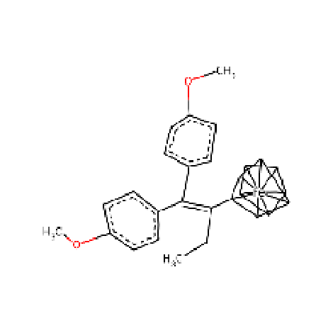 CCC(=C(c1ccc(OC)cc1)c1ccc(OC)cc1)[C]12[CH]3[CH]4[CH]5[CH]1[Fe]45321678[CH]2[CH]1[CH]6[CH]7[CH]28